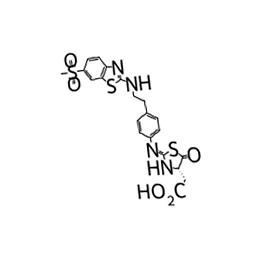 CS(=O)(=O)c1ccc2nc(NCCc3ccc(/N=C4/N[C@@H](CC(=O)O)C(=O)S4)cc3)sc2c1